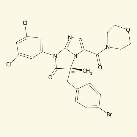 C[C@@]1(Cc2ccc(Br)cc2)C(=O)N(c2cc(Cl)cc(Cl)c2)c2ncc(C(=O)N3CCOCC3)n21